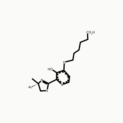 CC(=O)[C@@]1(C)CSC(c2nccc(OCCCCCC(=O)O)c2O)=N1